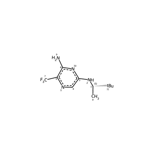 C[C@H](Nc1cnc(C(F)(F)F)c(N)n1)C(C)(C)C